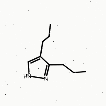 CCCc1c[nH]nc1CCC